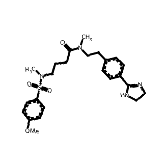 COc1ccc(S(=O)(=O)N(C)CCCC(=O)N(C)CCc2ccc(C3=NCCN3)cc2)cc1